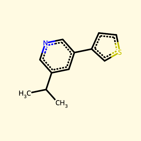 CC(C)c1cncc(-c2ccsc2)c1